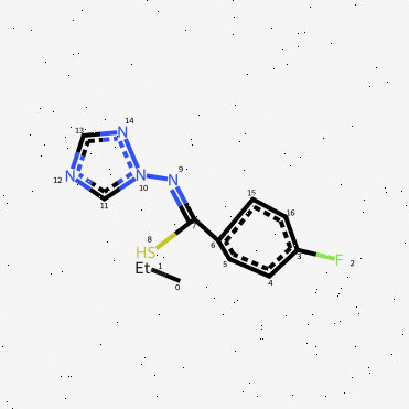 CCC.Fc1ccc(C(S)=Nn2cncn2)cc1